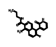 CCCNC(=O)c1ncc2c(-c3ccc[nH]c3=O)c(F)ccc2c1N